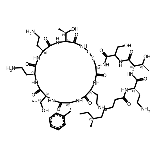 CC[C@H](C)CCCCC(=O)N[C@@H](CCN)C(=O)N[C@H](C(=O)NC(CO)C(=O)N[C@H]1CCNC(=O)[C@H]([C@@H](C)O)NC(=O)[C@H](CCN)NC(=O)[C@H](CCN)NC(=O)[C@H]([C@@H](C)O)NC(=O)[C@@H](Cc2ccccc2)NC(=O)[C@H](CCN)NC1=O)[C@@H](C)O